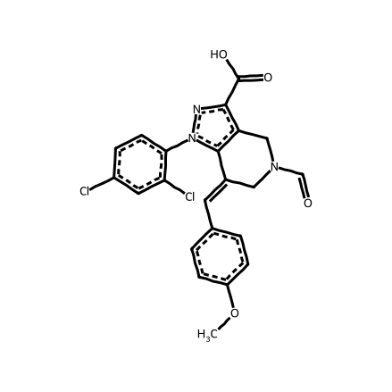 COc1ccc(C=C2CN(C=O)Cc3c(C(=O)O)nn(-c4ccc(Cl)cc4Cl)c32)cc1